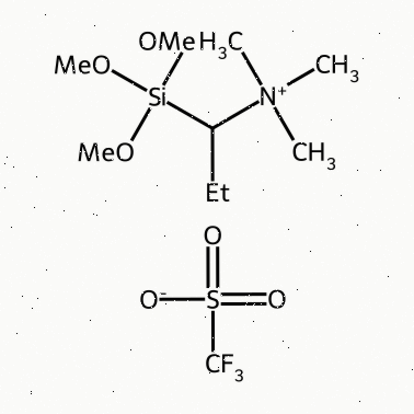 CCC([N+](C)(C)C)[Si](OC)(OC)OC.O=S(=O)([O-])C(F)(F)F